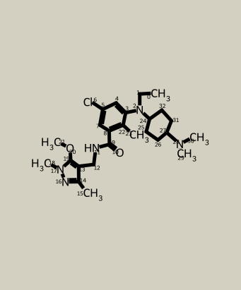 CCN(c1cc(Cl)cc(C(=O)NCc2c(C)nn(C)c2OC)c1C)C1CCC(N(C)C)CC1